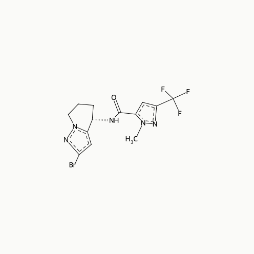 Cn1nc(C(F)(F)F)cc1C(=O)N[C@H]1CCCn2nc(Br)cc21